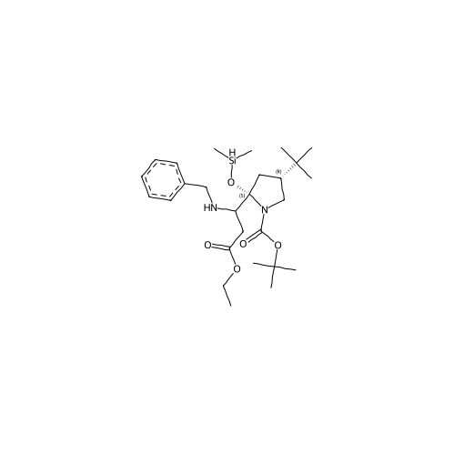 CCOC(=O)CC(NCc1ccccc1)[C@@]1(O[SiH](C)C)C[C@H](C(C)(C)C)CN1C(=O)OC(C)(C)C